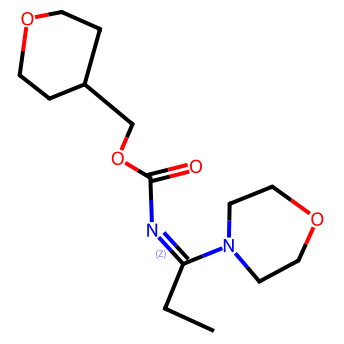 CC/C(=N/C(=O)OCC1CCOCC1)N1CCOCC1